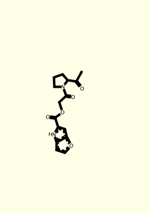 CC(=O)C1CCCN1C(=O)COC(=O)c1cc2occc2[nH]1